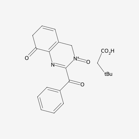 CC(C)(C)CC(=O)O.O=C1CC=CC2=C1N=C(C(=O)c1ccccc1)[N+](=O)C2